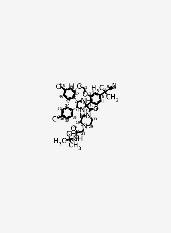 CCOc1cc(C(C)(C)C#N)ccc1C1(C(=O)N2CCN(CC(=O)NC(C)(C)C)CC2)N[C@H](c2ccc(Cl)cc2)[C@H](c2ccc(Cl)cc2)N1